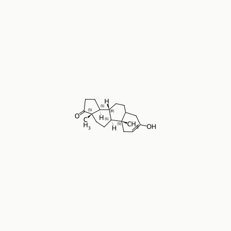 C[C@]12CC=C(O)CC1CC[C@@H]1[C@@H]2CC[C@]2(C)C(=O)CC[C@@H]12